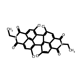 CCN1C(=O)c2cc(Cl)c3c4c(Cl)cc5c6c(cc(Cl)c(c7c(Cl)cc(c2c37)C1=O)c64)C(=O)N(CC)C5=O